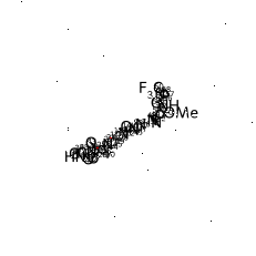 COc1cc2nn(CCN3CCN(CC(=O)N4CCC5(CC4)CCN(c4cc6c(cc4F)C(=O)N(C4CCC(=O)NC4=O)C6=O)CC5)CC3)cc2cc1NC(=O)c1cccc(C(F)(F)F)n1